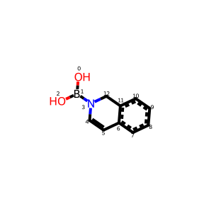 OB(O)N1C=Cc2ccccc2C1